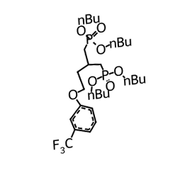 CCCCOP(=O)(CC(CCOc1cccc(C(F)(F)F)c1)CP(=O)(OCCCC)OCCCC)OCCCC